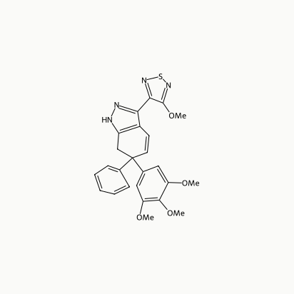 COc1cc(C2(c3ccccc3)C=Cc3c(-c4nsnc4OC)n[nH]c3C2)cc(OC)c1OC